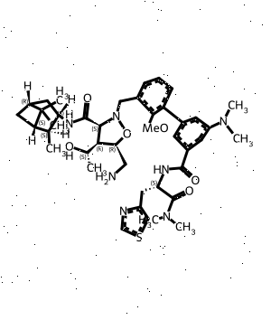 COc1c(CN2O[C@@H](CN)[C@@H]([C@H](C)O)[C@H]2C(=O)N[C@H]2C[C@H]3C[C@@H]([C@@H]2C)C3(C)C)cccc1-c1cc(C(=O)N[C@@H](Cc2cscn2)C(=O)N(C)C)cc(N(C)C)c1